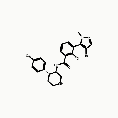 CCc1cnn(C)c1-c1cccc(C(=O)N[C@H]2CNCC[C@@H]2c2ccc(Cl)cc2)c1Cl